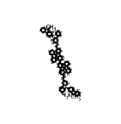 CC1(C)c2ccccc2-c2ccc(-n3c4ccccc4c4cc(/C=C/c5ccc6c(c5)C5(c7ccccc7-c7ccccc75)c5cc(-c7ccc8c(c7)C7(c9ccccc9-c9ccccc97)c7cc(/C=C/c9ccc%10c(c9)c9ccccc9n%10-c9ccc%10c(c9)C(C)(C)c9ccccc9-%10)ccc7-8)ccc5-6)ccc43)cc21